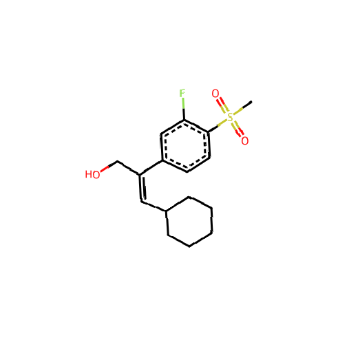 CS(=O)(=O)c1ccc(/C(=C\C2CCCCC2)CO)cc1F